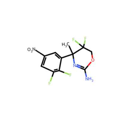 CC1(c2cc([N+](=O)[O-])cc(F)c2F)N=C(N)OCC1(F)F